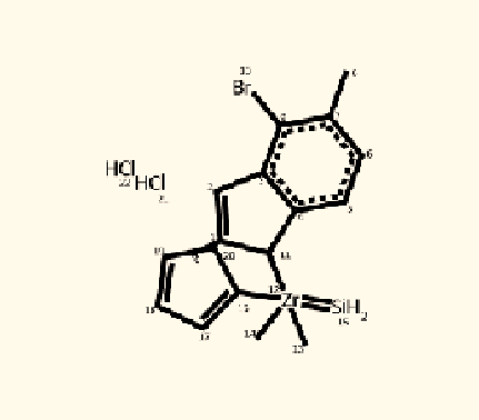 CC1=Cc2c(ccc(C)c2Br)[CH]1[Zr]([CH3])([CH3])(=[SiH2])[C]1=CC=CC1.Cl.Cl